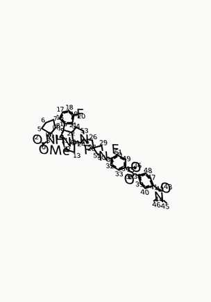 COC(=O)N[C@H]1CCC[C@@H]1C(CN1CCC1)(c1cccc(F)c1)C1CCN(CC2(F)CN(c3ccc(S(=O)(=O)c4ccc(C(=O)N(C)C)cc4)cc3F)C2)CC1